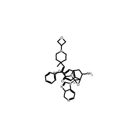 CC1(C=C(C#N)C(=O)N2CCC(N)C3(c4ccc(Oc5ccccc5)cc4)O[C@]23N2C=NC3CN=CC=C32)CCN(C2COC2)CC1